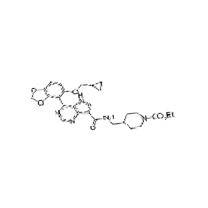 CCOC(=O)N1CCC(CNC(=O)c2c[nH]c3c(-c4c(OCC5CC5)ccc5c4OCO5)ncnc23)CC1